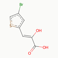 O=C(O)/C(O)=C/c1cc(Br)cs1